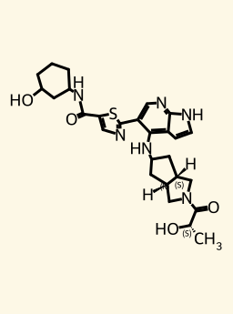 C[C@H](O)C(=O)N1C[C@H]2CC(Nc3c(-c4ncc(C(=O)NC5CCCC(O)C5)s4)cnc4[nH]ccc34)C[C@H]2C1